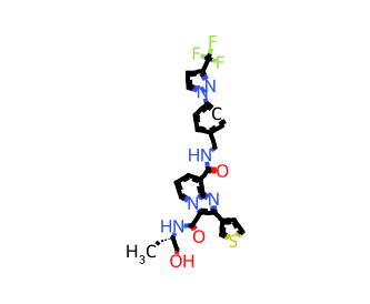 CC[C@@H](CO)NC(=O)c1c(-c2ccsc2)nc2c(C(=O)NCc3ccc(-n4ccc(C(F)(F)F)n4)cc3)cccn12